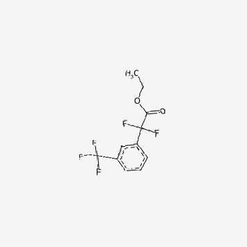 CCOC(=O)C(F)(F)c1cccc(C(F)(F)F)c1